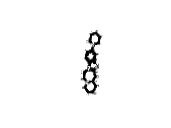 c1cc2c(cc1N1CCCCC1)nc1n2CCN2CCCCC2C1